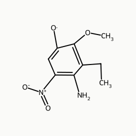 CCc1c(N)c([N+](=O)[O-])cc([O])c1OC